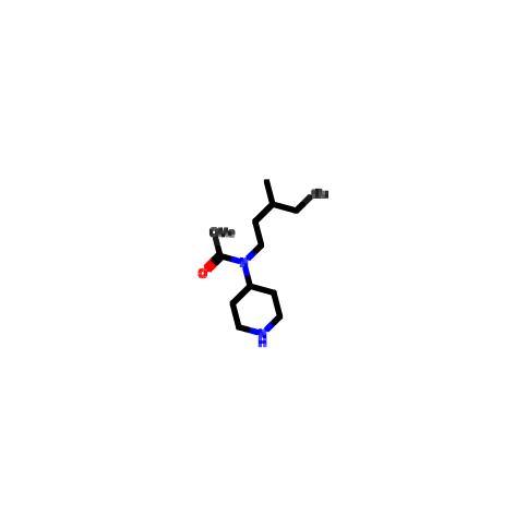 COC(=O)N(CCC(C)CC(C)(C)C)C1CCNCC1